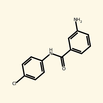 Nc1cccc(C(=O)Nc2ccc(Cl)cc2)c1